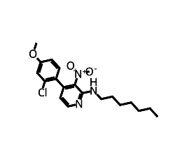 CCCCCCCNc1nccc(-c2ccc(OC)cc2Cl)c1[N+](=O)[O-]